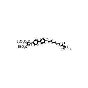 C=C(Cl)C(=O)OCCCCCCOc1ccc(-c2ccc(C3O[C@@H](C(=O)OCC)[C@H](C(=O)OCC)O3)cc2)cc1